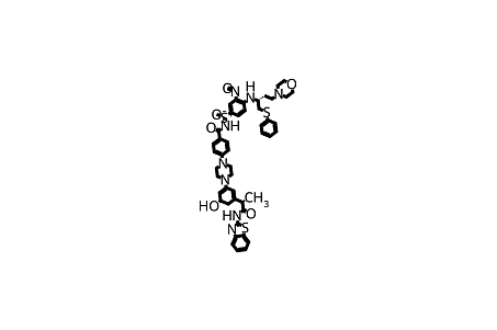 C[C@@H](C(=O)Nc1nc2ccccc2s1)C1=CC(N2CCN(c3ccc(C(=O)N[S+]([O-])c4ccc(N[C@H](CCN5CCOCC5)CSc5ccccc5)c(N=O)c4)cc3)CC2)=CC(O)C1